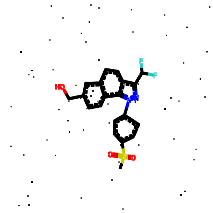 CS(=O)(=O)c1ccc(-n2nc(C(F)F)c3ccc4cc(CO)ccc4c32)cc1